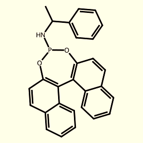 CC(Np1oc2ccc3ccccc3c2c2c(ccc3ccccc32)o1)c1ccccc1